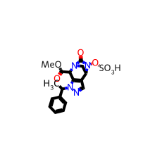 COC(=O)C1c2c(cnn2C(C)c2ccccc2)C2CN1C(=O)N2OS(=O)(=O)O